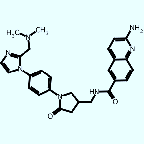 CN(C)Cc1nccn1-c1ccc(N2CC(CNC(=O)c3ccc4nc(N)ccc4c3)CC2=O)cc1